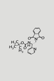 CC(C)(C)OC(=O)N[C@H](CN1C(=O)c2ccccc2C1=O)c1ccccn1